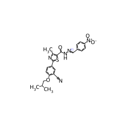 Cc1nc(-c2ccc(OCC(C)C)c(C#N)c2)sc1C(=O)N/N=C/c1ccc([N+](=O)[O-])cc1